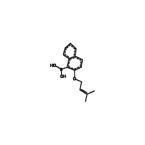 CC(C)=CCOc1ccc2ccccc2c1B(O)O